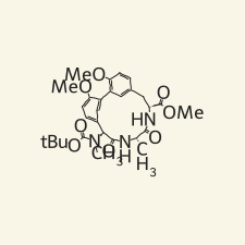 COC(=O)[C@@H]1Cc2ccc(OC)c(c2)-c2cc(ccc2OC)[C@H](N(C)C(=O)OC(C)(C)C)C(=O)N[C@@H](C)C(=O)N1